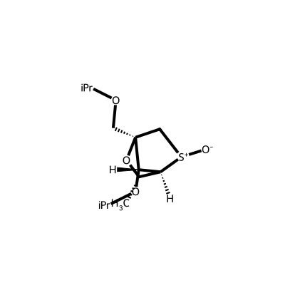 CC(C)OC[C@@]12C[S+]([O-])[C@@H]([C@H](C)O1)[C@@H]2OC(C)C